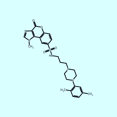 Cc1ccc(C)c(N2CCN(CCCNS(=O)(=O)c3ccc4oc(=O)c5ncn(C)c5c4c3)CC2)c1